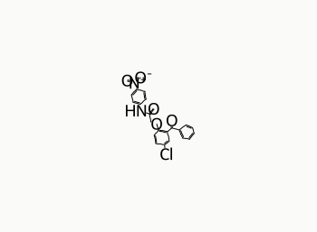 O=C(COc1ccc(Cl)cc1C(=O)c1ccccc1)Nc1ccc([N+](=O)[O-])cc1